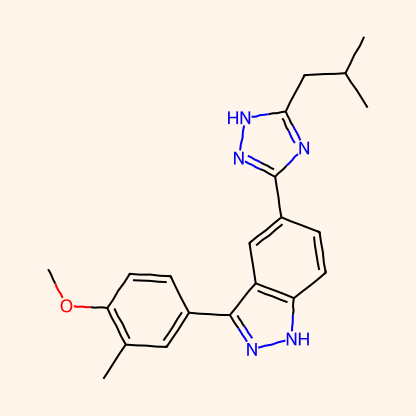 COc1ccc(-c2n[nH]c3ccc(-c4n[nH]c(CC(C)C)n4)cc23)cc1C